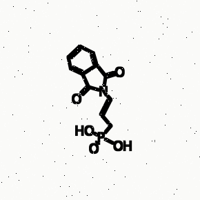 O=C1c2ccccc2C(=O)N1C=CCP(=O)(O)O